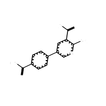 NC(=O)c1ccc(-c2cnc(N)c(C(N)=O)c2)cc1